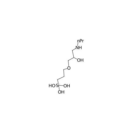 CCCNCC(O)COCCC[Si](O)(O)O